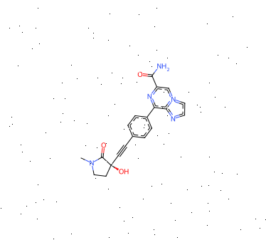 CN1CC[C@@](O)(C#Cc2ccc(-c3nc(C(N)=O)cn4ccnc34)cc2)C1=O